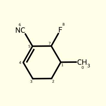 CC1CCC=C(C#N)C1F